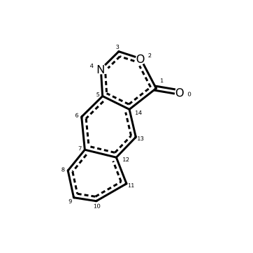 O=c1ocnc2cc3ccccc3cc12